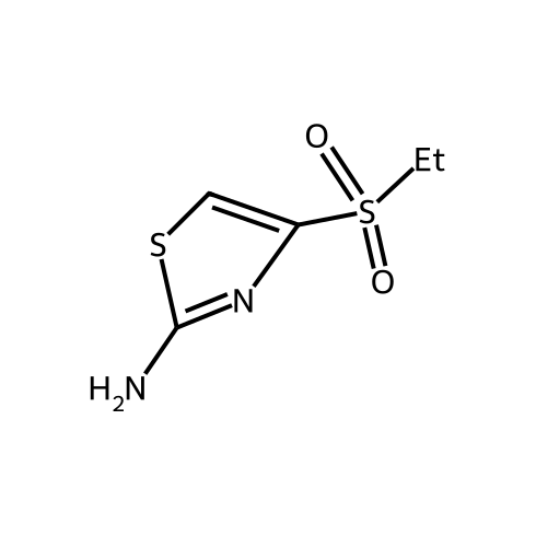 CCS(=O)(=O)c1csc(N)n1